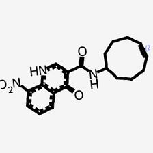 O=C(NC1CCC/C=C\CCC1)c1c[nH]c2c([N+](=O)[O-])cccc2c1=O